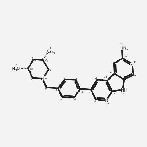 C[C@@H]1C[C@H](C)CN(Cc2ccc(-c3cnc4[nH]c5cnc(N)cc5c4c3)cc2)C1